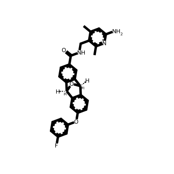 Cc1cc(N)nc(C)c1CNC(=O)c1ccc2c(c1)[C@@H]1O[C@H]2c2cc(Oc3cccc(F)c3)ccc21